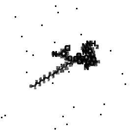 CCCCCCCCCCCCCCCCCC[C@H](COP(=O)(O)OC[C@@]1(C#N)OC(c2ccc3c(N)ncnn23)[C@@H]2OC(C)(C)O[C@@H]21)OCc1cc(Cl)cc(C#N)c1